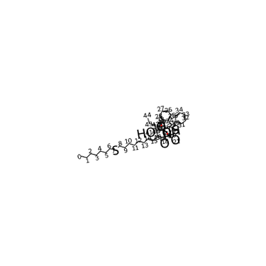 CCCCCCCSCCCCCCC=C[C@H](C(=O)N1C(=O)SC(c2ccccc2)(c2ccccc2)C1C(C)C)[C@@](O)(CCC)C(=O)O